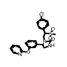 CS(=O)(=O)C(CN1C(=O)NCC1c1cccc(Oc2ccccn2)c1)c1ccc(Cl)cc1